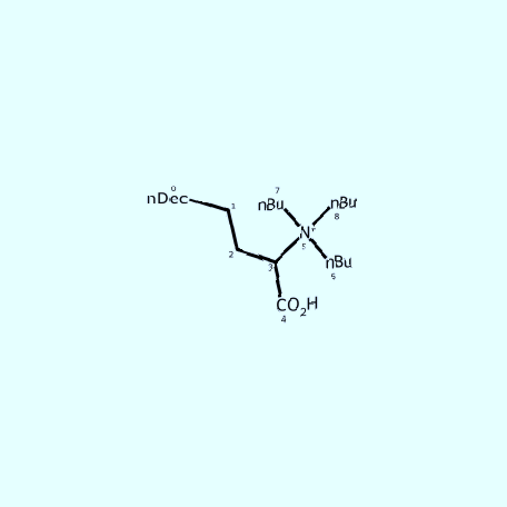 CCCCCCCCCCCCC(C(=O)O)[N+](CCCC)(CCCC)CCCC